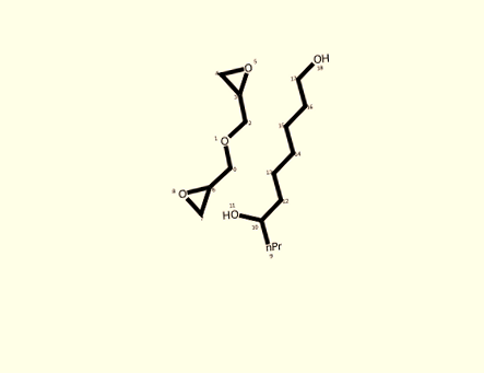 C(OCC1CO1)C1CO1.CCCC(O)CCCCCCO